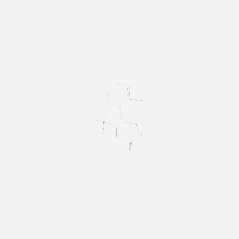 O=c1cc(C(F)(F)F)n(-c2cc(S)ccc2F)c(=O)[nH]1